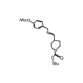 COc1ccc(C/N=C/C2CCN(C(=O)OC(C)(C)C)CC2)cc1